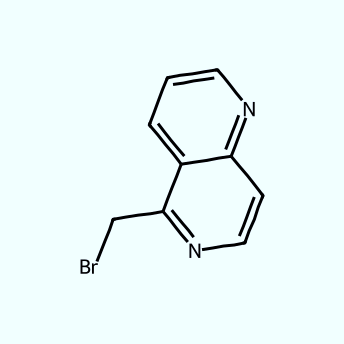 BrCc1nccc2ncccc12